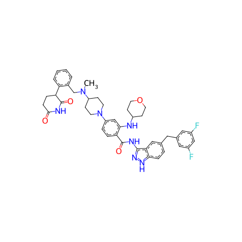 CN(Cc1ccccc1C1CCC(=O)NC1=O)C1CCN(c2ccc(C(=O)Nc3n[nH]c4ccc(Cc5cc(F)cc(F)c5)cc34)c(NC3CCOCC3)c2)CC1